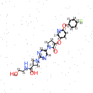 O=C1[C@H](Oc2ccc(Oc3ccc(F)cc3)nc2)CCN1c1cnc(N2CC(C(O)NCCO)C2)nc1